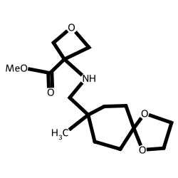 COC(=O)C1(NCC2(C)CCC3(CC2)OCCO3)COC1